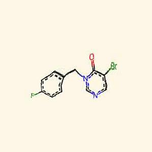 O=c1c(Br)cncn1Cc1ccc(F)cc1